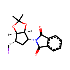 CC1(C)O[C@@H]2[C@@H](CI)C[C@@H](N3C(=O)c4ccccc4C3=O)[C@@H]2O1